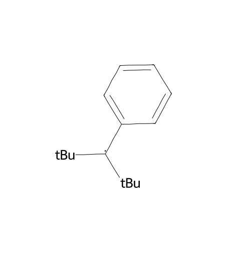 CC(C)(C)[C](c1ccccc1)C(C)(C)C